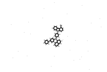 Brc1cccc2c1c1ccccc1n2-c1ccc(N(c2ccc(-c3ccccc3)cc2)c2cccc3ccccc23)cc1